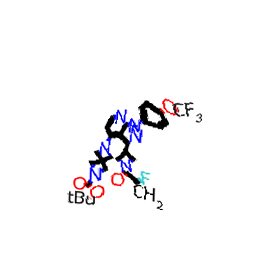 C=C(F)C(=O)N1CC(c2nn(-c3ccc(OC(F)(F)F)cc3)c3nccc(N4CC5(CN(C(=O)OC(C)(C)C)C5)C4)c23)C1